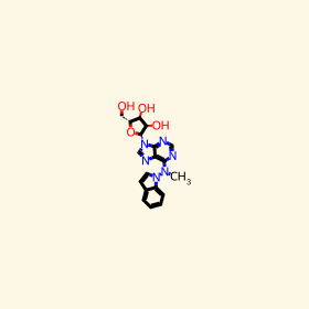 CN(c1ncnc2c1ncn2[C@@H]1O[C@H](CO)[C@@H](O)[C@H]1O)n1ccc2ccccc21